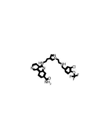 NC(=O)c1ccc2c(c1)nc(NCCc1cnn(CCNCc3ccc(OC(F)(F)F)c(Cl)c3)c1)c1ccncc12